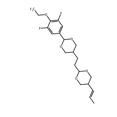 C/C=C/C1COC(CCC2COC(c3cc(F)c(OCC(F)(F)F)c(F)c3)OC2)OC1